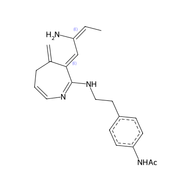 C=C1CC=CN=C(NCCc2ccc(NC(C)=O)cc2)/C1=C/C(N)=C\C